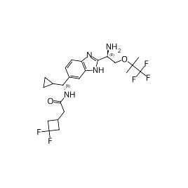 CC(C)(OC[C@H](N)c1nc2ccc([C@H](NC(=O)CC3CC(F)(F)C3)C3CC3)cc2[nH]1)C(F)(F)F